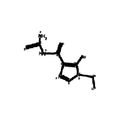 C=C(N)NC(=C)c1ncn(CC)c1C